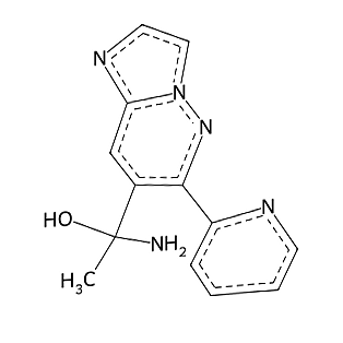 CC(N)(O)c1cc2nccn2nc1-c1ccccn1